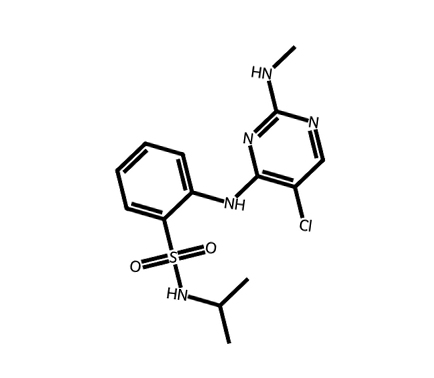 CNc1ncc(Cl)c(Nc2ccccc2S(=O)(=O)NC(C)C)n1